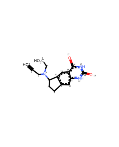 C#CCN(CC(=O)O)C1CCc2cc3[nH]c(=O)[nH]c(=O)c3cc21